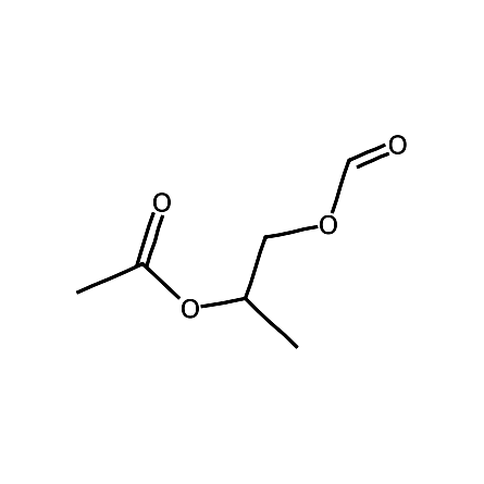 CC(=O)OC(C)COC=O